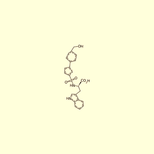 O=C(O)[C@@H](Cc1c[nH]c2ccccc12)NS(=O)(=O)c1ccc(-c2ccc(CO)cc2)s1